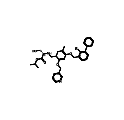 CC1=C(OCc2cccc(-c3ccccc3)c2Br)C=C(OCc2cccnc2)C(CN[C@@H](CO)C(=O)OC(C)C)C1